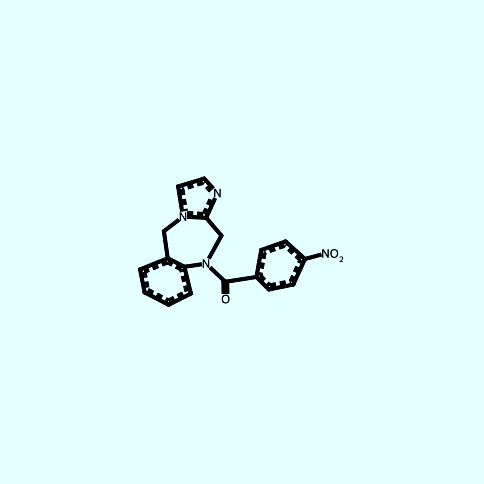 O=C(c1ccc([N+](=O)[O-])cc1)N1Cc2nccn2Cc2ccccc21